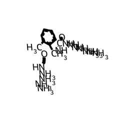 Cc1ccccc1C.N.N.N.N.N.N.N.N.N.N.N.N=C=O.N=C=O